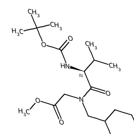 COC(=O)CN(CC1CCCCC1)C(=O)[C@@H](NC(=O)OC(C)(C)C)C(C)C